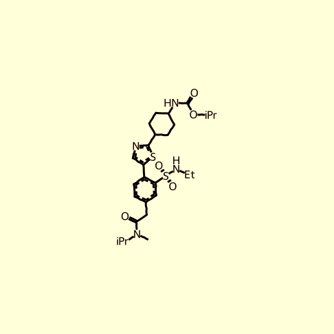 CCNS(=O)(=O)c1cc(CC(=O)N(C)C(C)C)ccc1-c1cnc(C2CCC(NC(=O)OC(C)C)CC2)s1